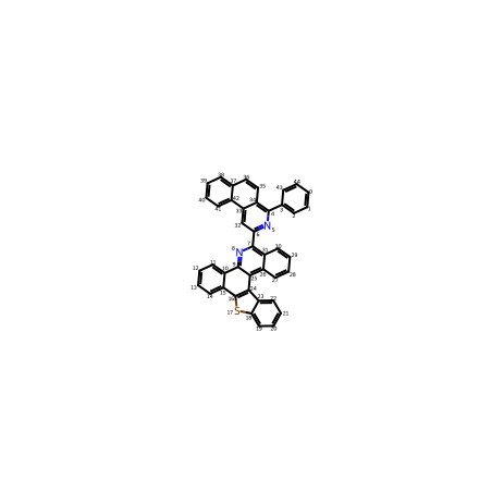 c1ccc(-c2nc(-c3nc4c5ccccc5c5sc6ccccc6c5c4c4ccccc34)cc3c2ccc2ccccc23)cc1